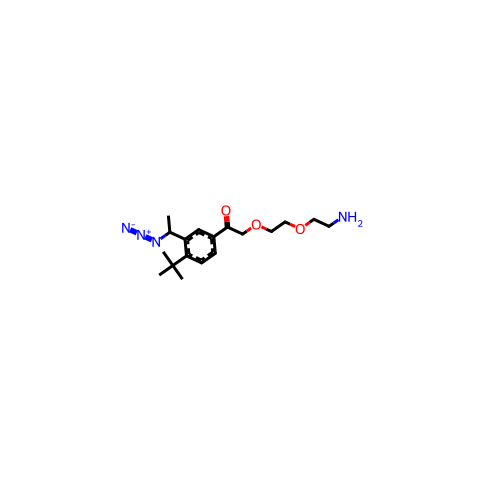 CC(N=[N+]=[N-])c1cc(C(=O)COCCOCCN)ccc1C(C)(C)C